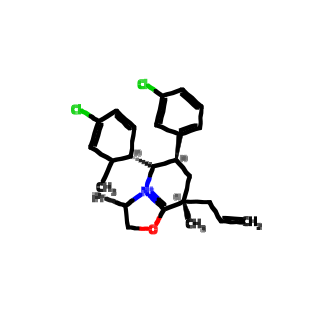 C=CC[C@@]1(C)C[C@H](c2cccc(Cl)c2)C([C@H]2C=CC(Cl)=CC2C)[N+]2=C1OCC2C(C)C